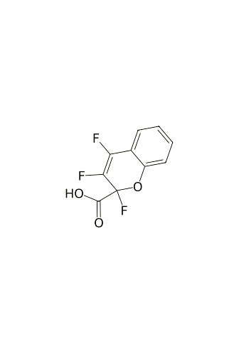 O=C(O)C1(F)Oc2ccccc2C(F)=C1F